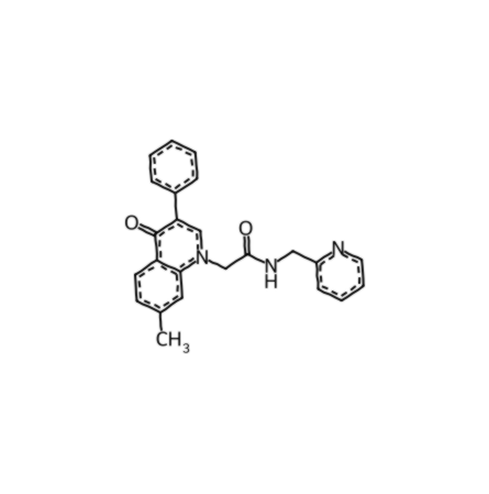 Cc1ccc2c(=O)c(-c3ccccc3)cn(CC(=O)NCc3ccccn3)c2c1